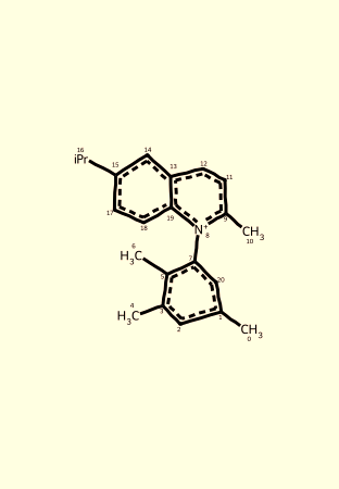 Cc1cc(C)c(C)c(-[n+]2c(C)ccc3cc(C(C)C)ccc32)c1